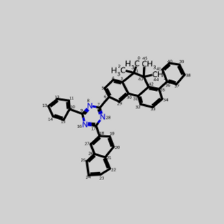 CC1(C)c2ccc(-c3nc(-c4ccccc4)nc(-c4ccc5ccccc5c4)n3)cc2-c2cccc(-c3ccccc3)c2C1(C)C